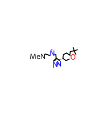 CNCCN(C)Cc1cn(C)nc1[C@H]1CC[C@]2(CC1)CC(C)(C)CO2